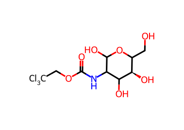 O=C(NC1C(O)OC(CO)[C@@H](O)C1O)OCC(Cl)(Cl)Cl